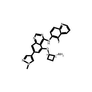 Cn1cc(-c2cc(O[C@@H]3CC[C@H]3N)c3c(Nc4ccc5ncccc5c4F)ncnc3c2)cn1